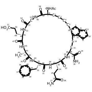 CC(=O)N[C@H]1CCCCn2cc3sccc3c2SC[C@@H](C(N)=O)NC(=O)[C@H](CCC(N)=O)NC(=O)[C@H](Cc2ccccc2)NC(=O)[C@H](C)NC(=O)[C@H](CCC(=O)O)NC(=O)CNC1=O